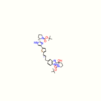 CC(C)(C)OC(=O)N1CCC[C@H]1c1nc(-c2ccc(/C=C/Cc3ccc4[nH]c([C@@]5(O)CCCN5C(=O)OC(C)(C)C)nc4c3)s2)c[nH]1